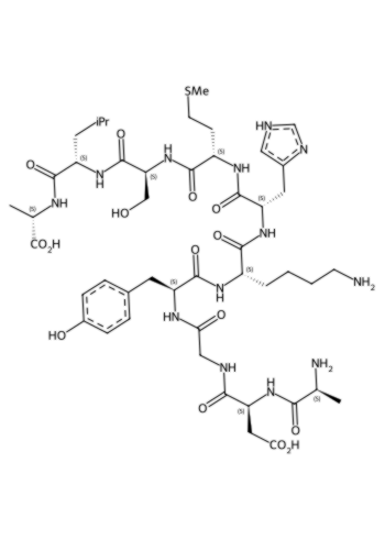 CSCC[C@H](NC(=O)[C@H](Cc1c[nH]cn1)NC(=O)[C@H](CCCCN)NC(=O)[C@H](Cc1ccc(O)cc1)NC(=O)CNC(=O)[C@H](CC(=O)O)NC(=O)[C@H](C)N)C(=O)N[C@@H](CO)C(=O)N[C@@H](CC(C)C)C(=O)N[C@@H](C)C(=O)O